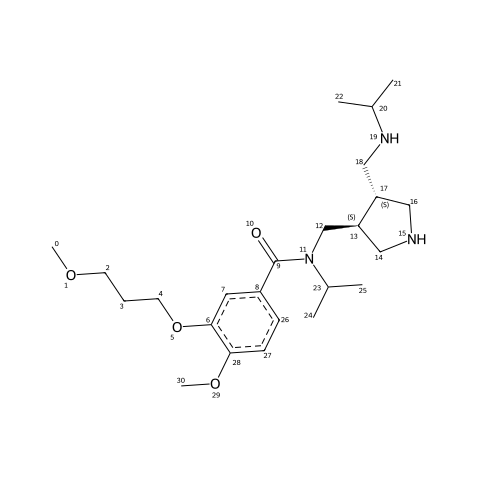 COCCCOc1cc(C(=O)N(C[C@@H]2CNC[C@H]2CNC(C)C)C(C)C)ccc1OC